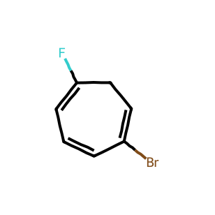 FC1=CC=CC(Br)=CC1